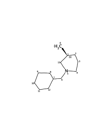 [CH2][C@H]1CCCN(CC2CCCCC2)C1